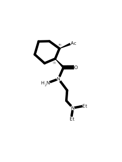 CCN(CC)CCN(N)C(=O)[C@H]1CCCC[C@H]1C(C)=O